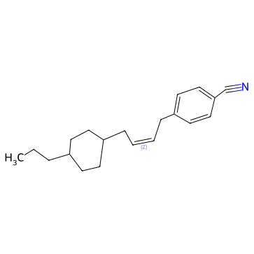 CCCC1CCC(C/C=C\Cc2ccc(C#N)cc2)CC1